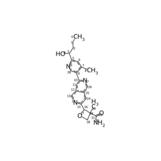 CCCC(O)c1cc(C)c(-c2cc3cnc(C4OCC4(C)C(N)=O)cc3cn2)cn1